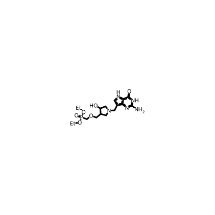 CCOP(=O)(COCC1CN(Cc2c[nH]c3c(=O)[nH]c(N)nc23)CC1O)OCC